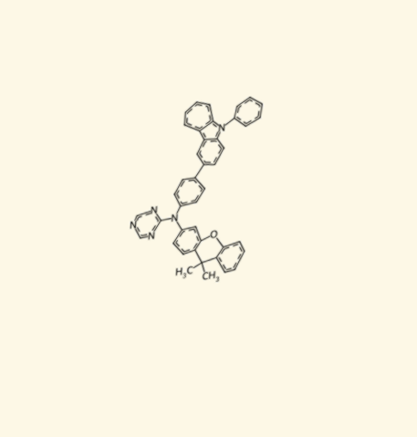 CC1(C)c2ccccc2Oc2cc(N(c3ccc(-c4ccc5c(c4)c4ccccc4n5-c4ccccc4)cc3)c3ncncn3)ccc21